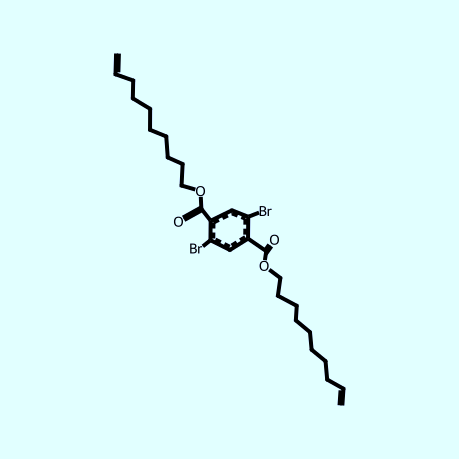 C=CCCCCCCCCOC(=O)c1cc(Br)c(C(=O)OCCCCCCCCC=C)cc1Br